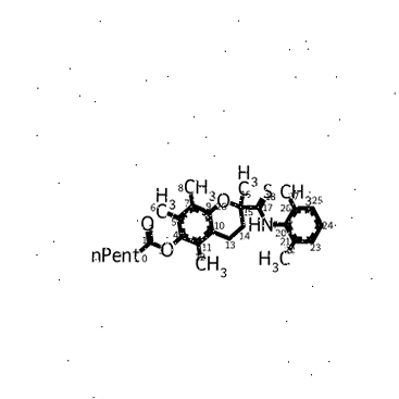 CCCCCC(=O)Oc1c(C)c(C)c2c(c1C)CCC(C)(C(=S)Nc1c(C)cccc1C)O2